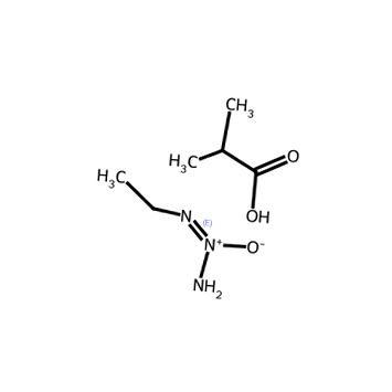 CC(C)C(=O)O.CC/N=[N+](\N)[O-]